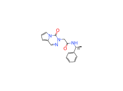 C[C@H](NC(=O)Cn1ncc2cccn2c1=O)c1ccccc1